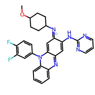 COC1CCC(/N=c2\cc3n(-c4ccc(F)c(F)c4)c4ccccc4nc-3cc2Nc2ncccn2)CC1